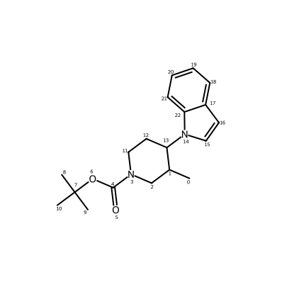 CC1CN(C(=O)OC(C)(C)C)CCC1n1ccc2ccccc21